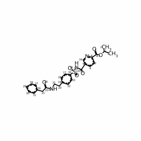 CC(C)OC(=O)c1ccc(C(=O)NS(=O)(=O)c2ccc(CCNC(=O)Cc3ccccc3)cc2)cn1